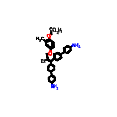 CCC(COc1ccc(OCC(=O)O)c(C)c1)=C(c1ccc(-c2ccc(N)cc2)cc1)c1ccc(-c2ccc(N)cc2)cc1